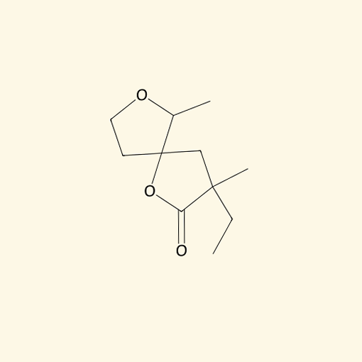 CCC1(C)CC2(CCOC2C)OC1=O